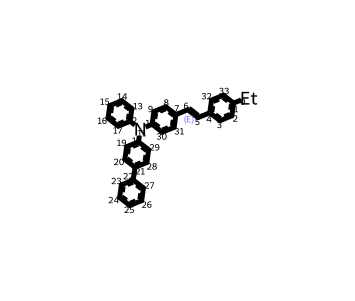 CCc1ccc(/C=C/c2ccc(N(c3ccccc3)c3ccc(-c4ccccc4)cc3)cc2)cc1